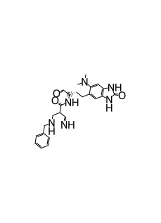 CN(C)c1cc2[nH]c(=O)[nH]c2cc1CC[C@@H](C=O)NC(=O)C(C=N)CNCc1ccccc1